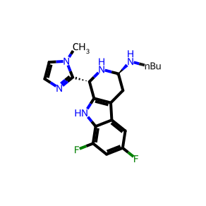 CCCCN[C@H]1Cc2c([nH]c3c(F)cc(F)cc23)[C@H](c2nccn2C)N1